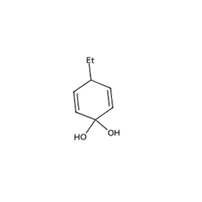 [CH2]CC1C=CC(O)(O)C=C1